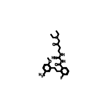 Bc1ccc(OC)c(CCc2c(F)cccc2C(=O)NC(=N)NCCC(=O)CN(CC)CC)c1